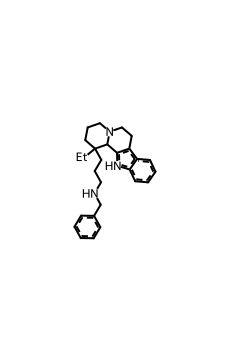 CCC1(CCCNCc2ccccc2)CCCN2CCc3c([nH]c4ccccc34)C21